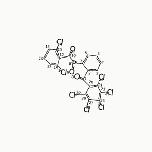 O=C(c1ccccc1[P](=O)C(=O)c1c(Cl)cccc1Cl)c1c(Cl)c(Cl)c(Cl)c(Cl)c1Cl